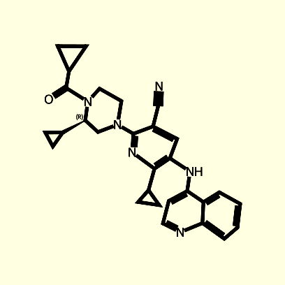 N#Cc1cc(Nc2ccnc3ccccc23)c(C2CC2)nc1N1CCN(C(=O)C2CC2)[C@H](C2CC2)C1